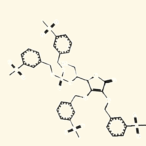 CS(=O)(=O)c1cccc(COC2=C(OCc3cccc(S(C)(=O)=O)c3)[C@@H]([C@H](CO)OP(=O)(OCc3cccc(S(C)(=O)=O)c3)OCc3cccc(S(C)(=O)=O)c3)OC2=O)c1